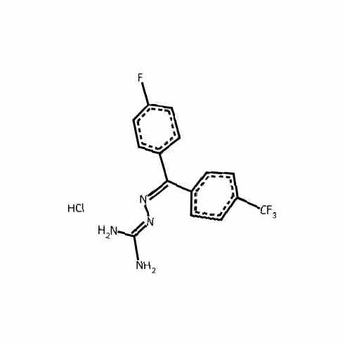 Cl.NC(N)=N/N=C(/c1ccc(F)cc1)c1ccc(C(F)(F)F)cc1